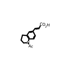 CC(=O)N1CCCc2cc(C=CC(=O)O)ccc21